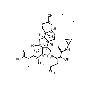 CCCC(N)C(O)C(=O)NC1CC1.C[C@H](CCC(=O)O)[C@H]1CC[C@H]2[C@@H]3CC[C@@H]4C[C@H](O)CC[C@]4(C)[C@H]3C[C@H](O)[C@]12C